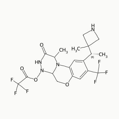 CC1C(=O)NN(OC(=O)C(F)(F)F)C2COc3cc(C(F)(F)F)c([C@@H](C)C4(C)CNC4)cc3N12